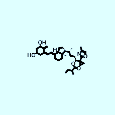 C=C1/C(=C\C=C2/CCC[C@]3(C)[C@@H]([C@H](C)CC[C@H](OC(=O)C(C)CC)C4(c5nc(C)co5)CC4)CC[C@@H]23)C[C@@H](O)C[C@@H]1O